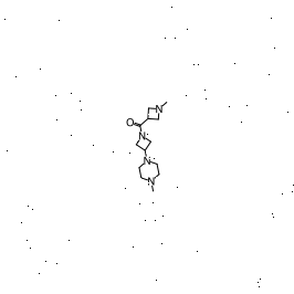 CN1CCN(C2CN(C(=O)C3CN(C)C3)C2)CC1